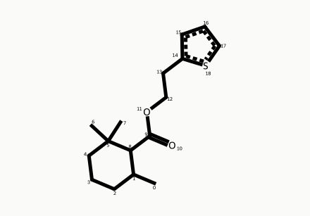 CC1CCCC(C)(C)C1C(=O)OCCc1cccs1